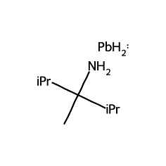 CC(C)C(C)(N)C(C)C.[PbH2]